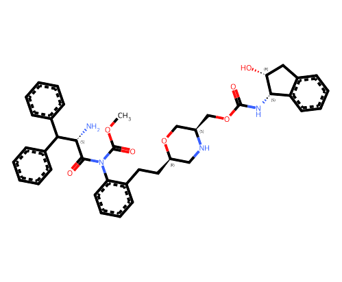 COC(=O)N(C(=O)[C@@H](N)C(c1ccccc1)c1ccccc1)c1ccccc1CC[C@@H]1CN[C@H](COC(=O)N[C@H]2c3ccccc3C[C@H]2O)CO1